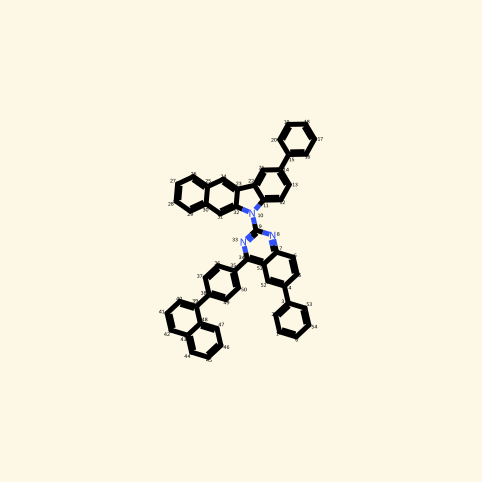 c1ccc(-c2ccc3nc(-n4c5ccc(-c6ccccc6)cc5c5cc6ccccc6cc54)nc(-c4ccc(-c5cccc6ccccc56)cc4)c3c2)cc1